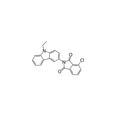 CCn1c2ccccc2c2cc(N3C(=O)c4cccc(Cl)c4C3=O)ccc21